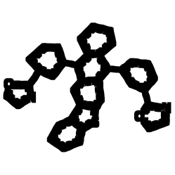 c1cc(-c2ncco2)cc(-c2c3ccccc3c(-c3cccc(-c4ncco4)c3)c3cc4c(cc23)sc2ccccc24)c1